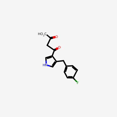 O=C(O)C(=O)CC(=O)c1c[nH]cc1Cc1ccc(F)cc1